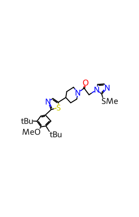 COc1c(C(C)(C)C)cc(-c2ncc(C3CCN(C(=O)Cn4ccnc4SC)CC3)s2)cc1C(C)(C)C